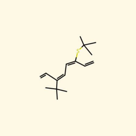 C=C/C(=C\C=C(/C=C)C(C)(C)C)SC(C)(C)C